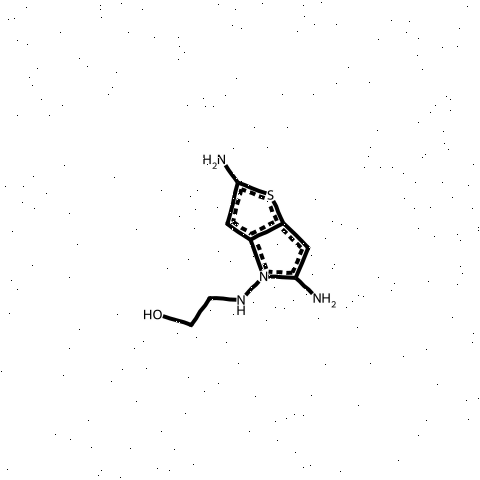 Nc1cc2c(cc(N)n2NCCO)s1